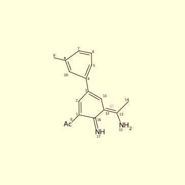 CC(=O)C1=CC(c2cccc(C)c2)=C/C(=C(\C)N)C1=N